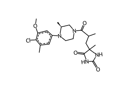 COc1cc(N2CCN(C(=O)C(C)CC3(C)NC(=O)NC3=O)C[C@@H]2C)cc(C)c1Cl